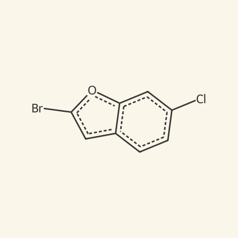 Clc1ccc2cc(Br)oc2c1